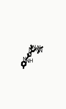 Cc1ccc2nc(C3CN(c4cc(-n5nc(C)nc5C)nc(C)n4)C3)[nH]c2c1